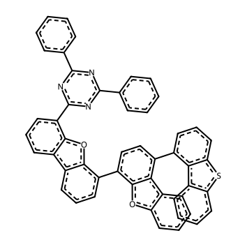 c1ccc(-c2nc(-c3ccccc3)nc(-c3cccc4c3oc3c(-c5ccc(-c6cccc7sc8ccccc8c67)c6c5oc5ccccc56)cccc34)n2)cc1